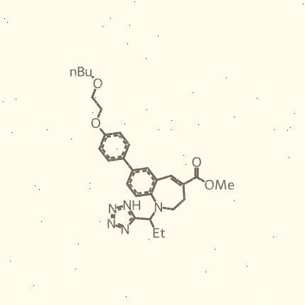 CCCCOCCOc1ccc(-c2ccc3c(c2)C=C(C(=O)OC)CCN3C(CC)c2nnn[nH]2)cc1